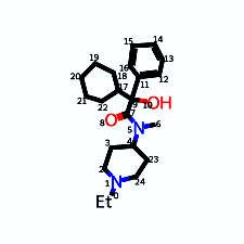 CCN1CCC(N(C)C(=O)C(O)(c2ccccc2)C2CCCCC2)CC1